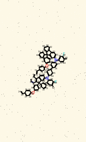 C=CC1=C(/C=C\C)C(c2ccccc2)(c2ccc(Oc3ccc(C=C)cc3)cc2)c2cc(N(c3ccc(-c4ccc(N(c5ccc(C)c(F)c5)c5ccc6c(c5)C(c5ccccc5)(c5ccc(Oc7ccc(C=C)cc7)cc5)c5ccccc5-6)cc4)cc3)c3ccc(C)c(F)c3)ccc21